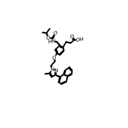 Cc1cc(-c2cccc3ccccc23)nn1CCOc1ccc(CCC(=O)O)c(CNC(=O)OC(C)C)c1